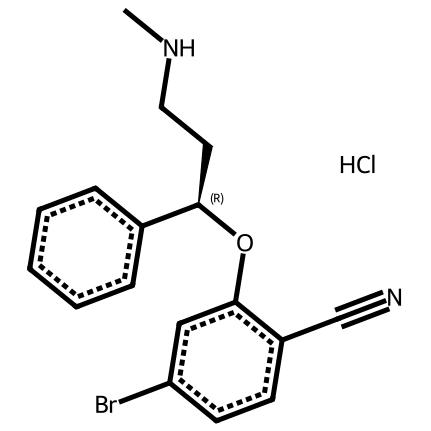 CNCC[C@@H](Oc1cc(Br)ccc1C#N)c1ccccc1.Cl